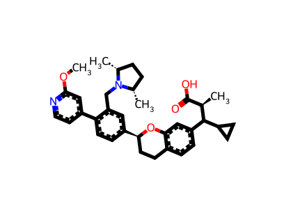 COc1cc(-c2ccc([C@@H]3CCc4ccc(C(C5CC5)[C@H](C)C(=O)O)cc4O3)cc2CN2[C@H](C)CC[C@@H]2C)ccn1